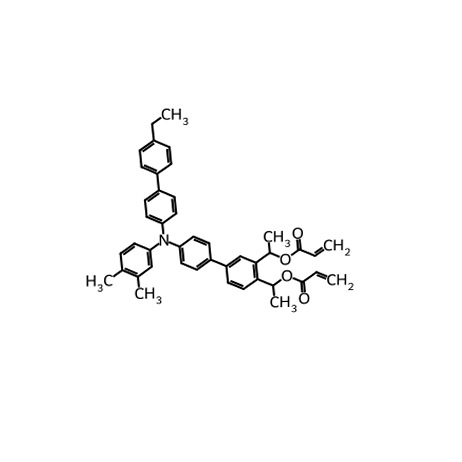 C=CC(=O)OC(C)c1ccc(-c2ccc(N(c3ccc(-c4ccc(CC)cc4)cc3)c3ccc(C)c(C)c3)cc2)cc1C(C)OC(=O)C=C